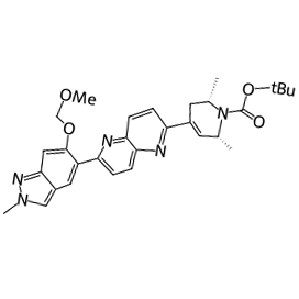 COCOc1cc2nn(C)cc2cc1-c1ccc2nc(C3=C[C@@H](C)N(C(=O)OC(C)(C)C)[C@@H](C)C3)ccc2n1